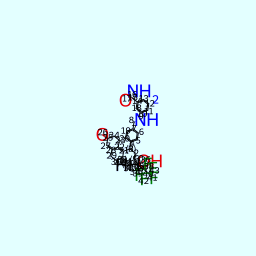 C[C@]12C[C@H](c3ccc(CNc4cccc(C(N)=O)c4)cc3)C3=C4CCC(=O)C=C4CC[C@H]3[C@@H]1CC[C@@]2(O)C(F)(F)C(F)(F)F